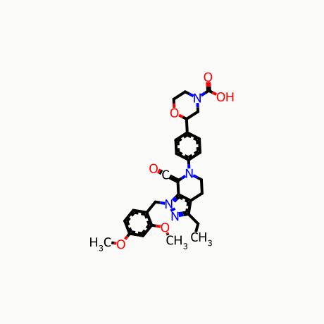 CCc1nn(Cc2ccc(OC)cc2OC)c2c1CCN(c1ccc(C3CN(C(=O)O)CCO3)cc1)C2=C=O